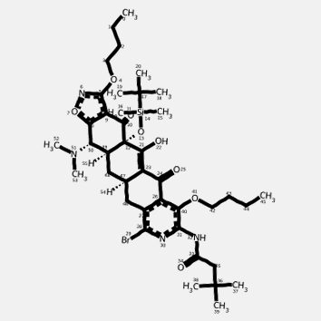 CCCCOc1noc2c1C(=O)[C@@]1(O[Si](C)(C)C(C)(C)C)C(O)=C3C(=O)c4c(c(Br)nc(NC(=O)CC(C)(C)C)c4OCCCC)C[C@H]3C[C@H]1[C@@H]2N(C)C